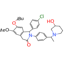 CCC(C)Oc1cc2c(cc1OC)CC(=O)N(c1ccc(C(C)N3CCCC(O)C3)cc1)C2c1ccc(Cl)cc1